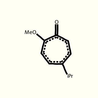 COc1ccc(C(C)C)ccc1=O